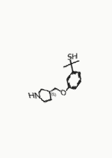 CC(C)(S)c1cccc(OC[C@H]2CCNC2)c1